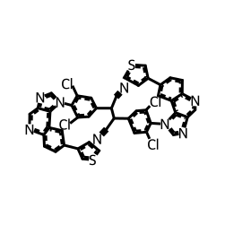 N#CC(c1cc(Cl)c(-n2cnc3cnc4ccc(-c5ccsc5)cc4c32)c(Cl)c1)C(C#N)c1cc(Cl)c(-n2cnc3cnc4ccc(-c5ccsc5)cc4c32)c(Cl)c1